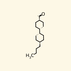 CCCC[C@H]1CC[C@H]([C@H]2CC[C@H]([C]=O)CC2)CC1